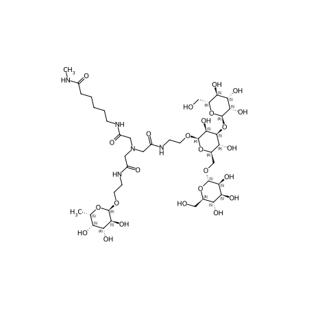 CNC(=O)CCCCCNC(=O)CN(CC(=O)NCCO[C@@H]1O[C@@H](C)[C@@H](O)[C@@H](O)[C@@H]1O)CC(=O)NCCO[C@@H]1O[C@H](CO[C@H]2O[C@H](CO)[C@@H](O)[C@H](O)[C@@H]2O)[C@@H](O)[C@H](O[C@H]2O[C@H](CO)[C@@H](O)[C@H](O)[C@@H]2O)[C@@H]1O